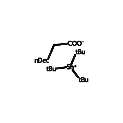 CCCCCCCCCCCC(=O)[O-].C[C](C)(C)[Sn+]([C](C)(C)C)[C](C)(C)C